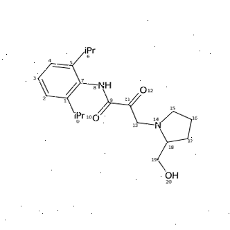 CC(C)c1cccc(C(C)C)c1NC(=O)C(=O)CN1CCCC1CO